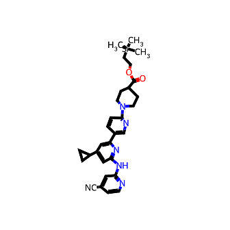 C[Si](C)(C)CCOC(=O)C1CCN(c2ccc(-c3cc(C4CC4)cc(Nc4cc(C#N)ccn4)n3)cn2)CC1